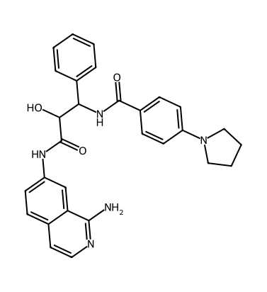 Nc1nccc2ccc(NC(=O)C(O)C(NC(=O)c3ccc(N4CCCC4)cc3)c3ccccc3)cc12